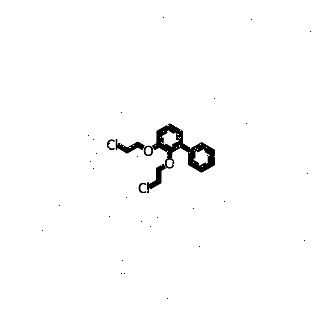 ClCCOc1cccc(-c2ccccc2)c1OCCCl